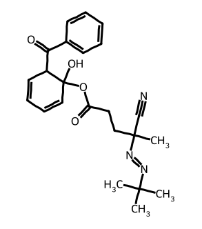 CC(C)(C)/N=N/C(C)(C#N)CCC(=O)OC1(O)C=CC=CC1C(=O)c1ccccc1